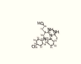 CC(=N)N1C(=N)C(CCO)CN(c2ccc(Cl)cc2)c2ccccc21